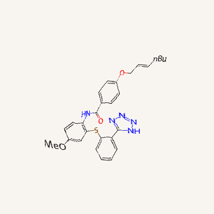 CCCCC=CCOc1ccc(C(=O)Nc2ccc(OC)cc2Sc2ccccc2-c2nnn[nH]2)cc1